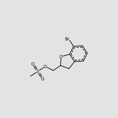 CS(=O)(=O)OCC1Cc2cccc(Br)c2O1